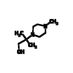 CN1CCN(C(C)(C)CO)CC1